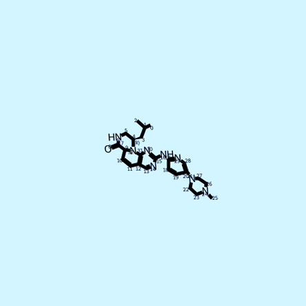 CC(C)C[C@@H]1CNC(=O)C2C=Cc3cnc(Nc4ccc(N5CCN(C)CC5)cn4)nc3N21